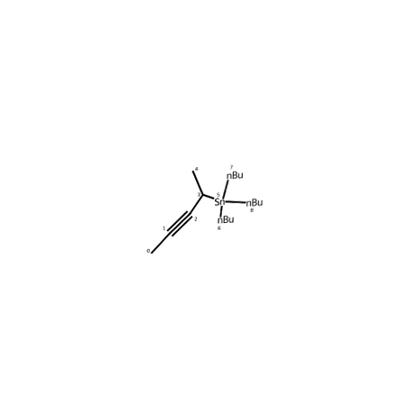 CC#C[CH](C)[Sn]([CH2]CCC)([CH2]CCC)[CH2]CCC